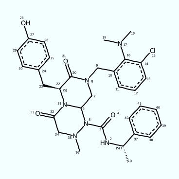 C[C@H](NC(=O)N1C2CN(Cc3cccc(Cl)c3N(C)C)C(=O)[C@H](Cc3ccc(O)cc3)N2C(=O)CN1C)c1ccccc1